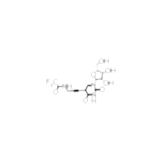 O=C(NCC#Cc1cn([C@@H]2O[C@H](CO)[C@@H](O)[C@H]2O)c(=O)[nH]c1=O)C(F)(F)F